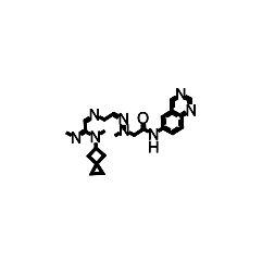 C/N=C(\C=N/C/C=N\N(C)CC(=O)Nc1ccc2ncncc2c1)N(C)C1CC2(CC2)C1